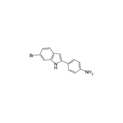 Nc1ccc(-c2cc3ccc(Br)cc3[nH]2)cc1